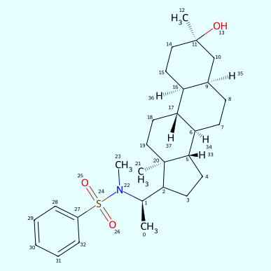 C[C@H](C1CC[C@H]2[C@@H]3CC[C@@H]4C[C@](C)(O)CC[C@@H]4[C@H]3CC[C@]12C)N(C)S(=O)(=O)c1ccccc1